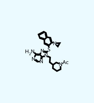 CC(=O)N1CCCC(CCn2c(Sc3cc4ccccc4cc3N3CC3)nc3c(N)ncnc32)C1